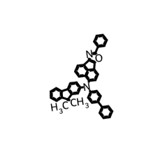 CC1(C)c2ccccc2-c2ccc(N(c3ccc(-c4ccccc4)cc3)c3ccc4c5c(cccc35)-c3nc(-c5ccccc5)oc3-4)cc21